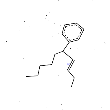 CC/C=C/C(CCCCC)c1ccccc1